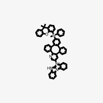 CC1(C)c2ccccc2Oc2c1cccc2[Si](C)(c1ccccc1)c1ccc2c(c1)-c1ccccc1-c1ncc(-[n+]3c4ccccc4n4c5ccccc5[nH]c43)cc1-c1ccccc1-2